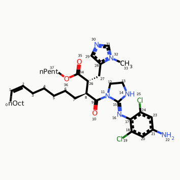 CCCCCCCC/C=C\CCCCC[C@H](C(=O)N1CCN/C1=N\c1c(Cl)cc(N)cc1Cl)[C@@H](Cc1cncn1C)C(=O)OCCCCC